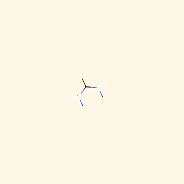 [CH2]CCC(NCCC)NCCC